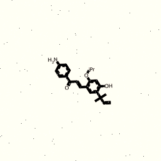 C=CC(C)(C)c1cc(/C=C/C(=O)c2ccc(N)cc2)c(OC(C)C)cc1O